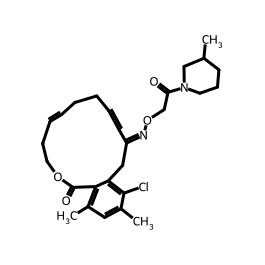 Cc1cc(C)c2c(c1Cl)CC(=N/OCC(=O)N1CCCC(C)C1)/C=C/CC/C=C/CCOC2=O